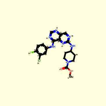 CC(C)(C)OC(=O)N1CCC(Nc2ncc3ncnc(Nc4ccc(F)c(Cl)c4)c3n2)CC1